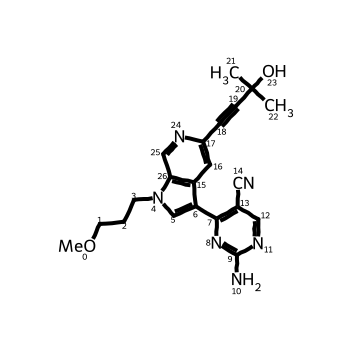 COCCCn1cc(-c2nc(N)ncc2C#N)c2cc(C#CC(C)(C)O)ncc21